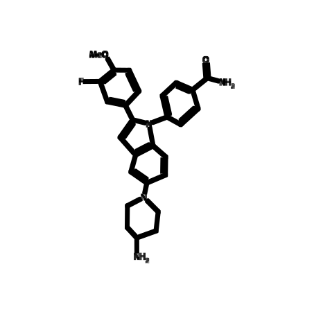 COc1ccc(-c2cc3cc(N4CCC(N)CC4)ccc3n2-c2ccc(C(N)=O)cc2)cc1F